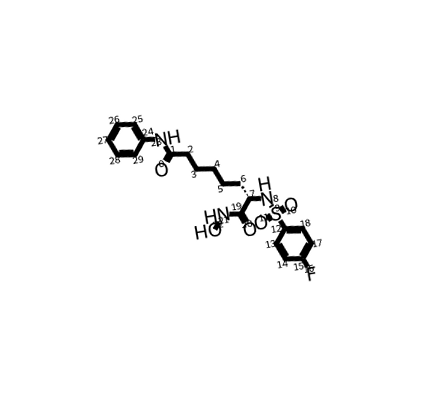 O=C(CCCCC[C@H](NS(=O)(=O)c1ccc(F)cc1)C(=O)NO)Nc1ccccc1